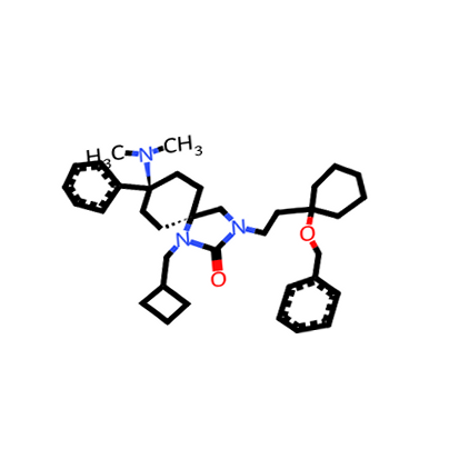 CN(C)[C@]1(c2ccccc2)CC[C@]2(CC1)CN(CCC1(OCc3ccccc3)CCCCC1)C(=O)N2CC1CCC1